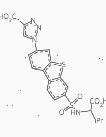 CC(C)C(NS(=O)(=O)c1ccc2c(c1)sc1cc(-n3cc(C(=O)O)nn3)ccc12)C(=O)O